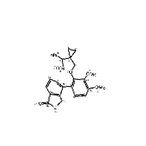 CCCC(C(=O)O)C1(COc2c(-c3cccc4c3COC4=O)ccc(OC)c2OC)CC1